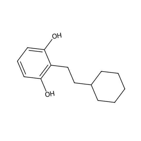 Oc1cccc(O)c1CCC1CCCCC1